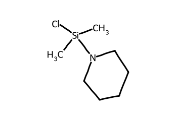 C[Si](C)(Cl)N1CCCCC1